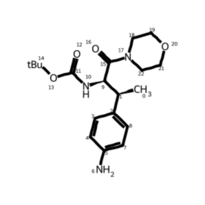 C[C@@H](c1ccc(N)cc1)[C@@H](NC(=O)OC(C)(C)C)C(=O)N1CCOCC1